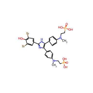 CN(CCP(=O)(O)O)c1ccc(-c2nc(-c3cc(Br)c(O)c(Br)c3)[nH]c2-c2ccc(N(C)CCP(=O)(O)O)cc2)cc1